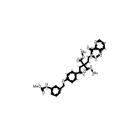 COC(=O)Nc1cccc(COc2ccc(C(=O)CC(CCn3nnc4cccnc4c3=O)(C(=O)OC(C)(C)C)C(=O)OC(C)(C)C)cc2)c1